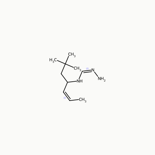 C/C=C\C(CC(C)(C)C)N/C=N\N